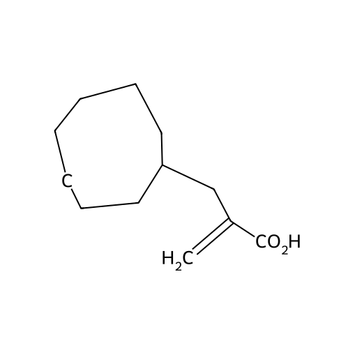 C=C(CC1CCCCCCC1)C(=O)O